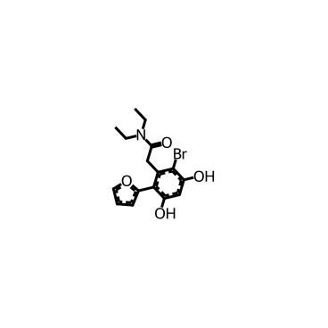 CCN(CC)C(=O)Cc1c(Br)c(O)cc(O)c1-c1ccco1